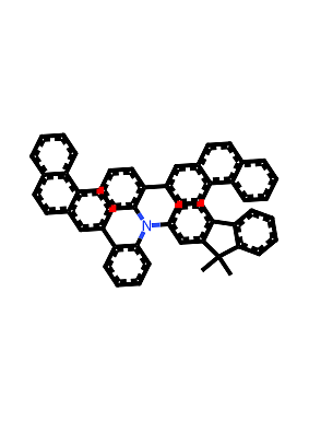 CC1(C)c2ccccc2-c2ccc(N(c3ccccc3-c3ccc4c(ccc5ccccc54)c3)c3ccccc3-c3ccc4c(ccc5ccccc54)c3)cc21